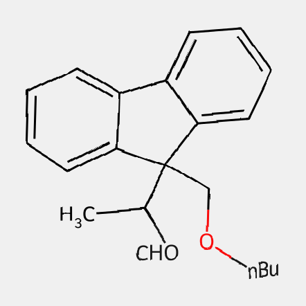 CCCCOCC1(C(C)C=O)c2ccccc2-c2ccccc21